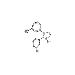 [O-][S+]1C=CN(c2cccc(O)c2)C1c1cccc(Br)c1